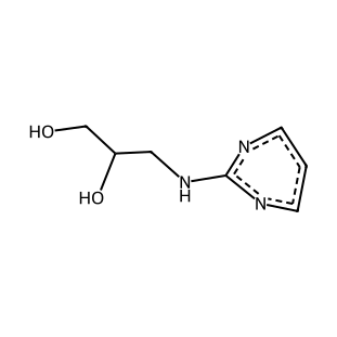 OCC(O)CNc1ncccn1